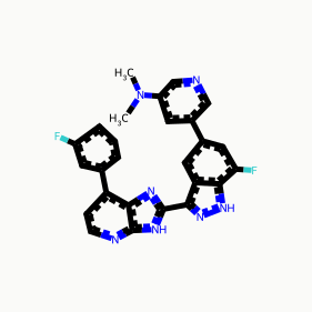 CN(C)c1cncc(-c2cc(F)c3[nH]nc(-c4nc5c(-c6cccc(F)c6)ccnc5[nH]4)c3c2)c1